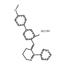 COc1ccc(-c2ccc(C=C3CCCN=C3c3cccnc3)c(F)c2)cc1.Cl.Cl